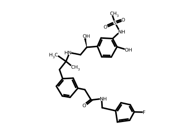 CC(C)(Cc1cccc(CC(=O)NCc2ccc(F)cc2)c1)NC[C@@H](O)c1ccc(O)c(NS(C)(=O)=O)c1